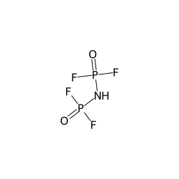 O=P(F)(F)NP(=O)(F)F